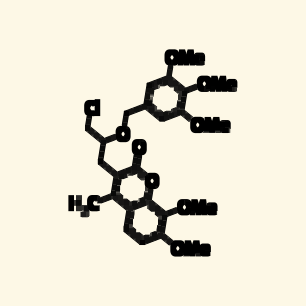 COc1cc(COC(CCl)Cc2c(C)c3ccc(OC)c(OC)c3oc2=O)cc(OC)c1OC